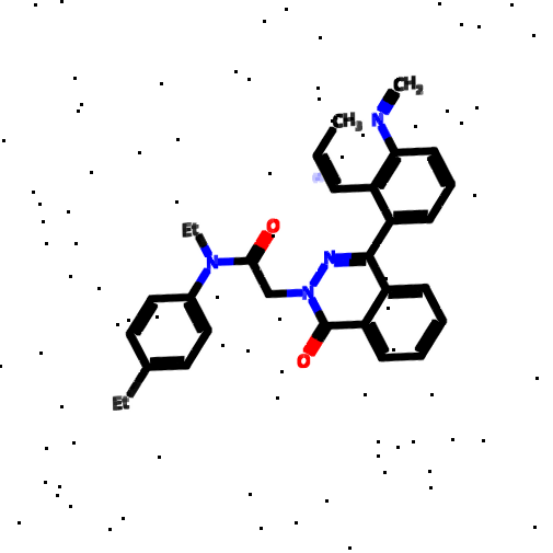 C=Nc1cccc(-c2nn(CC(=O)N(CC)c3ccc(CC)cc3)c(=O)c3ccccc23)c1/C=C\C